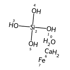 O.O[Si](O)(O)O.[CaH2].[Fe]